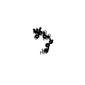 CCc1nc2c(cnn2CC)c(NC2CCOCC2)c1CNC(=O)c1cccc(C(=O)NCc2cc(-c3cccc(CN4C[C@@H]5CC4CN5)c3)ccc2C)c1